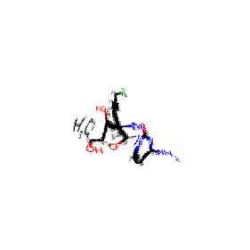 C[C@@H](O)[C@H]1O[C@@H](n2ccc(N)nc2=O)[C@@](N)(C#CCF)C1O